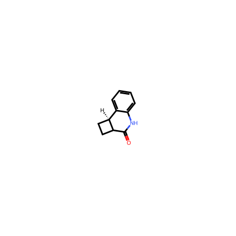 O=C1Nc2ccccc2[C@@H]2CCC12